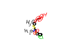 CCCN(CCCSc1ccc(OCC(=O)C(=O)O)c(C)c1)S(=O)(=O)c1ccc2c(Cl)cccc2c1